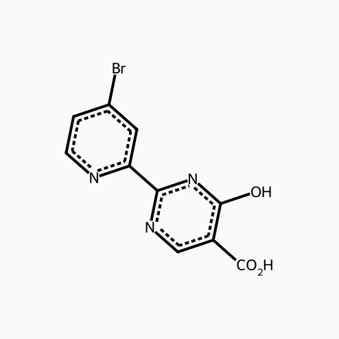 O=C(O)c1cnc(-c2cc(Br)ccn2)nc1O